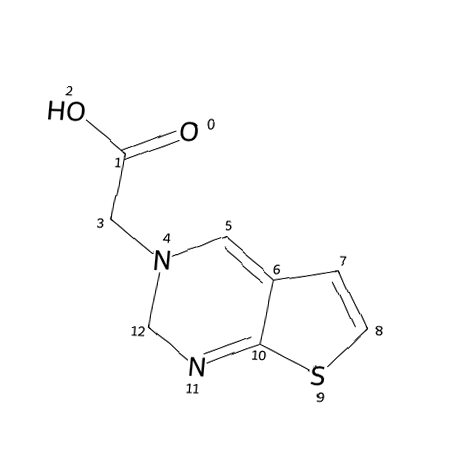 O=C(O)CN1C=c2ccsc2=NC1